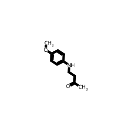 COc1ccc(NCCC(C)=O)cc1